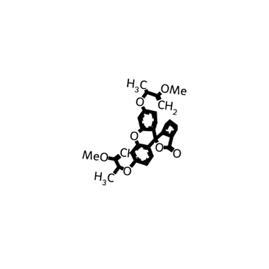 C=C(OC)C(C)Oc1ccc2c(c1)Oc1cc(OC(C)C(=C)OC)ccc1C21OC(=O)c2ccccc21